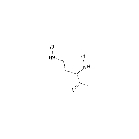 CC(=O)C(CCNCl)NCl